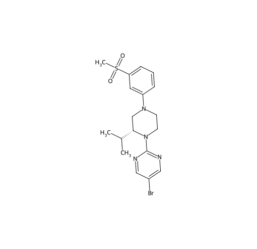 CC(C)[C@@H]1CN(c2cccc(S(C)(=O)=O)c2)CCN1c1ncc(Br)cn1